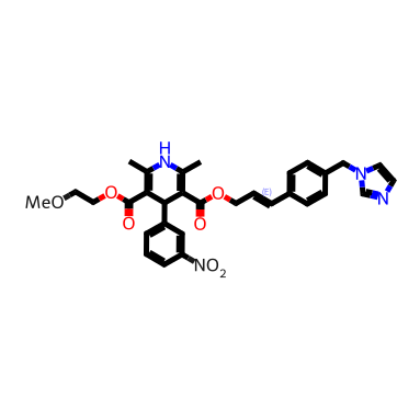 COCCOC(=O)C1=C(C)NC(C)=C(C(=O)OC/C=C/c2ccc(Cn3ccnc3)cc2)C1c1cccc([N+](=O)[O-])c1